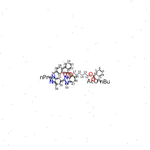 CCCCC(OC(C)=O)c1ccccc1C(=O)OCCCCCCOC(=O)c1ccccc1-c1ccc(Cn2c(CCC)nc3c(C)cc(-c4nc5ccccc5n4C)cc32)cc1